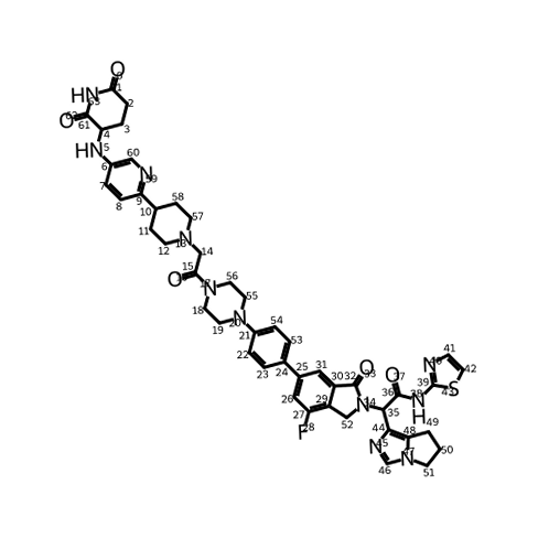 O=C1CCC(Nc2ccc(C3CCN(CC(=O)N4CCN(c5ccc(-c6cc(F)c7c(c6)C(=O)N(C(C(=O)Nc6nccs6)c6ncn8c6CCC8)C7)cc5)CC4)CC3)nc2)C(=O)N1